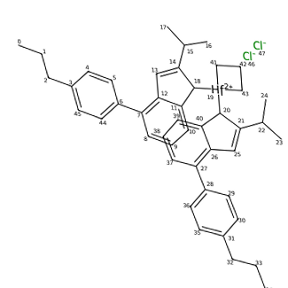 CCCc1ccc(-c2cccc3c2C=C(C(C)C)[CH]3[Hf+2]2([CH]3C(C(C)C)=Cc4c(-c5ccc(CCC)cc5)cccc43)[CH2]C[CH2]2)cc1.[Cl-].[Cl-]